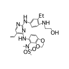 C=Cc1cnc(Nc2ccc(NCCO)c(CC)c2)nc1Nc1ccc2c(c1N(C)S(C)(=O)=O)OCCO2